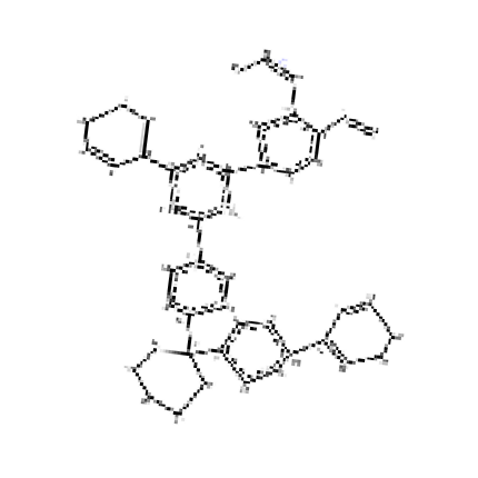 C=Cc1ccc(-c2nc(C3=CCCC=C3)nc(-c3ccc(C4(c5ccc(C6=CCCC=C6)cc5)CCCCC4)cc3)n2)cc1/C=C\C